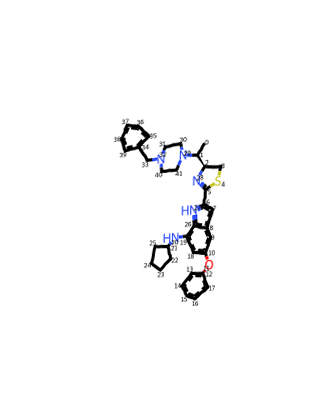 CC([C@H]1CSC(c2cc3cc(Oc4ccccc4)cc(NC4CCCC4)c3[nH]2)=N1)N1CCN(Cc2ccccc2)CC1